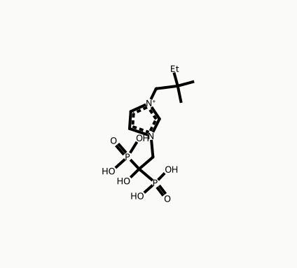 CCC(C)(C)C[n+]1ccn(CC(O)(P(=O)(O)O)P(=O)(O)O)c1